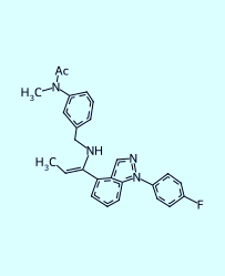 C/C=C(\NCc1cccc(N(C)C(C)=O)c1)c1cccc2c1cnn2-c1ccc(F)cc1